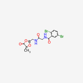 C[C@@H]1OB(CNC(=O)CNC(=O)c2cc(Br)ccc2Br)OC1=O